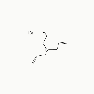 Br.C=CCN(CC=C)CCO